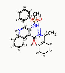 C[C@H](NC(=O)c1c(NS(C)(=O)=O)c(-c2ccccc2)nc2ccccc12)C1CCCCC1